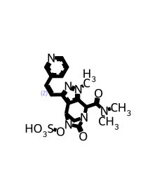 CN(C)C(=O)C1c2c(c(/C=C\c3cccnc3)nn2C)C2CN1C(=O)N2OS(=O)(=O)O